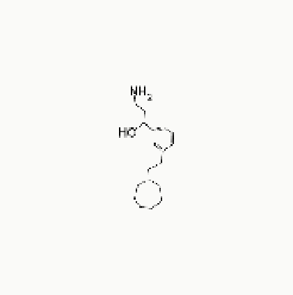 NCCC(O)c1cccc(CCC2CCCCCC2)c1